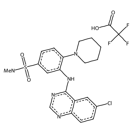 CNS(=O)(=O)c1ccc(N2CCCCC2)c(Nc2ncnc3ccc(Cl)cc23)c1.O=C(O)C(F)(F)F